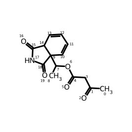 CC(=O)CC(=O)OC(C)C12C=CC=CC1C(=O)NC2=O